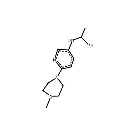 CC(S)Nc1ccc(N2CCN(C)CC2)nc1